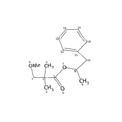 COCC(C)(C)C(=O)OC(C)Cc1ccccc1